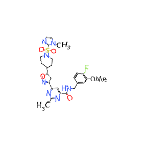 COc1cc(CNC(=O)c2cc(C3=NOC(C4CCN(S(=O)(=O)c5nccn5C)CC4)C3)nc(C)n2)ccc1F